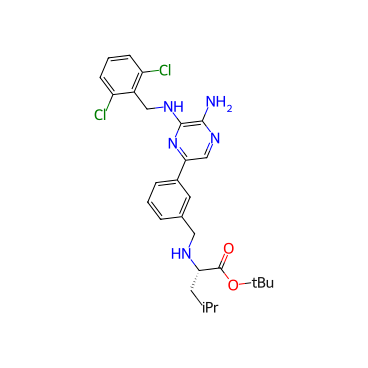 CC(C)C[C@H](NCc1cccc(-c2cnc(N)c(NCc3c(Cl)cccc3Cl)n2)c1)C(=O)OC(C)(C)C